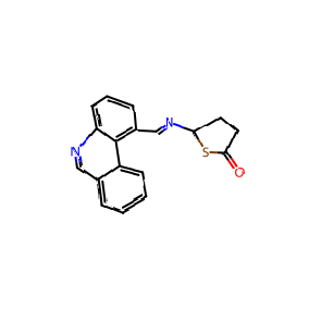 O=C1CCC(N=Cc2cccc3ncc4ccccc4c23)S1